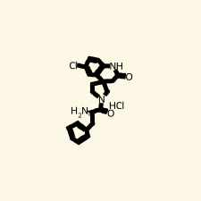 Cl.N[C@@H](Cc1ccccc1)C(=O)N1CCC2(CC(=O)Nc3ccc(Cl)cc32)C1